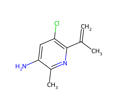 C=C(C)c1nc(C)c(N)cc1Cl